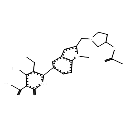 CCc1c(-c2ccc3c(c2)cc(CN2CCC(NC(C)=O)C2)n3C)[nH]c(=O)c(C(=O)O)c1O